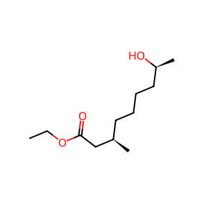 CCOC(=O)C[C@H](C)CCCC[C@H](C)O